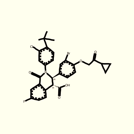 CC(C)(C)c1ccc(N2C(=O)c3cc(F)ccc3[C@@H](C(=O)O)[C@@H]2c2ccc(OCC(=O)C3CC3)c(Br)c2)cc1Cl